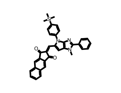 Cn1c(-c2ccccc2)nc2c1cc(C=C1C(=O)c3cc4ccccc4cc3C1=O)n2-c1ccc([Si](C)(C)C)cc1